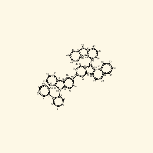 c1ccc(-c2ccccc2-n2c3ccccc3c3cc(-c4ccc5c(c4)c4ccc6ccccc6c4n5-c4cccc5sc6ccccc6c45)ccc32)cc1